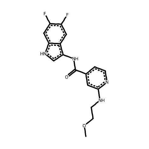 COCCNc1cc(C(=O)Nc2c[nH]c3cc(F)c(F)cc23)ccn1